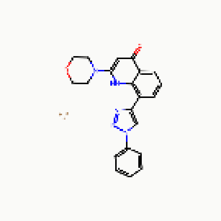 O=c1cc(N2CCOCC2)[nH]c2c(-c3cn(-c4ccccc4)nn3)cccc12.S